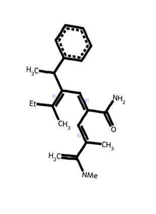 C=C(NC)/C(C)=C/C(=C\C(=C(/C)CC)C(C)c1ccccc1)C(N)=O